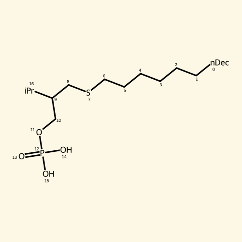 CCCCCCCCCCCCCCCCSCC(COP(=O)(O)O)C(C)C